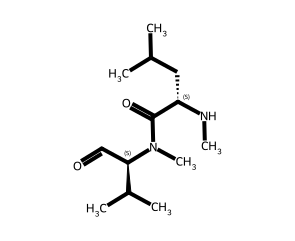 CN[C@@H](CC(C)C)C(=O)N(C)[C@H](C=O)C(C)C